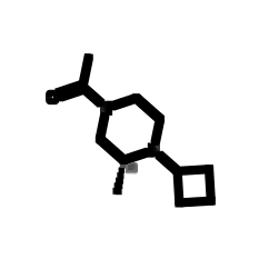 CC(=O)N1CCN(C2CCC2)[C@H](C)C1